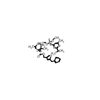 CC(C)=C[C@@H]1[C@@H](C(=O)OCc2coc(Cc3ccccc3)c2)C1(C)C.CCOP(=S)(OCC)Oc1cc(C)nc(C(C)C)n1